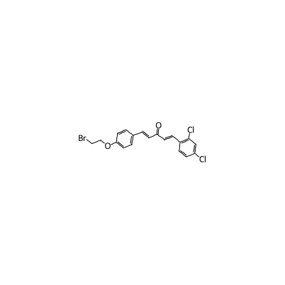 O=C(C=Cc1ccc(OCCBr)cc1)C=Cc1ccc(Cl)cc1Cl